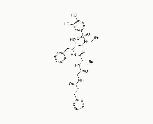 CC(C)CN(C[C@@H](O)[C@H](Cc1ccccc1)NC(=O)[C@@H](NC(=O)CNC(=O)OCc1ccccc1)C(C)(C)C)S(=O)(=O)c1ccc(O)c(O)c1